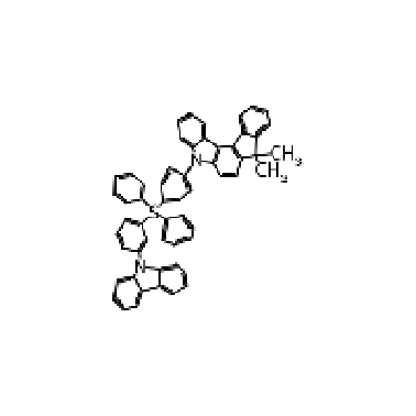 CC1(C)c2ccccc2-c2c1ccc1c2c2ccccc2n1-c1ccc(S(c2ccccc2)(c2ccccc2)c2cccc(-n3c4ccccc4c4ccccc43)c2)cc1